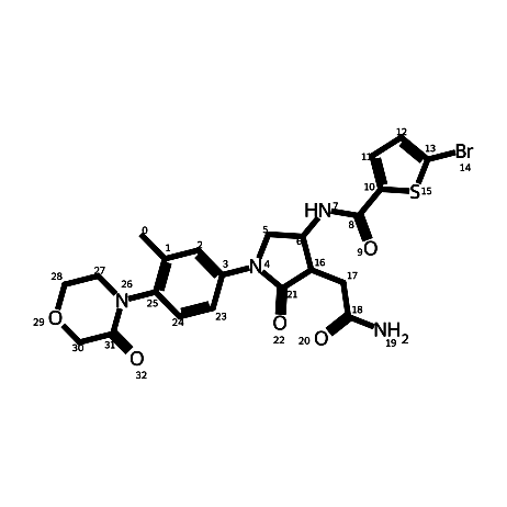 Cc1cc(N2CC(NC(=O)c3ccc(Br)s3)C(CC(N)=O)C2=O)ccc1N1CCOCC1=O